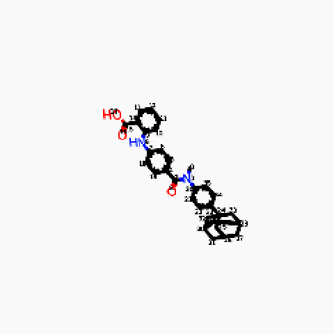 CN(C(=O)c1ccc(Nc2ccccc2C(=O)O)cc1)c1ccc(C23CC4CC(CC(C4)C2)C3)cc1